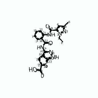 CCn1nc(C)cc1C(=O)Nc1ccccc1C(=O)Nc1n[nH]c2sc(C(=O)O)cc12